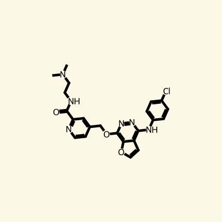 CN(C)CCNC(=O)c1cc(COc2nnc(Nc3ccc(Cl)cc3)c3ccoc23)ccn1